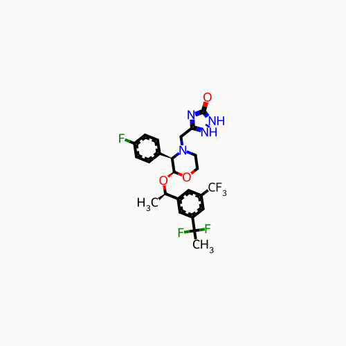 C[C@@H](O[C@@H]1OCCN(Cc2nc(=O)[nH][nH]2)[C@@H]1c1ccc(F)cc1)c1cc(C(C)(F)F)cc(C(F)(F)F)c1